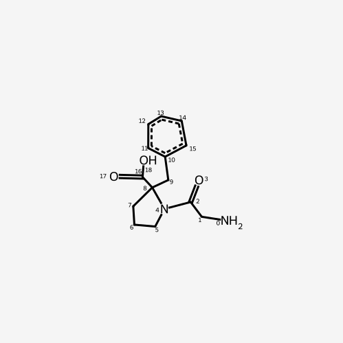 NCC(=O)N1CCCC1(Cc1ccccc1)C(=O)O